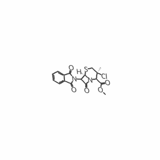 COC(=O)C1N2C(=O)C(N3C(=O)c4ccccc4C3=O)[C@H]2SC[C@@]1(C)Cl